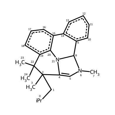 CC(C)CC1(C)C2=CN(C)C3c4ccccc4-c4cccc(c4N23)C1(C)C